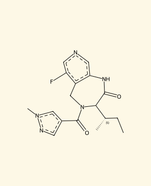 CC[C@H](C)C1C(=O)Nc2cncc(F)c2CN1C(=O)c1cnn(C)c1